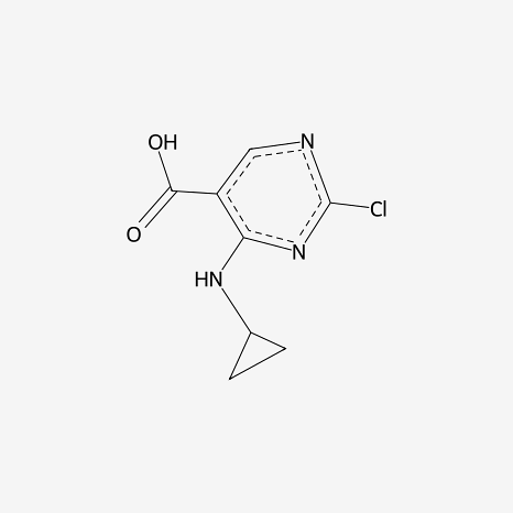 O=C(O)c1cnc(Cl)nc1NC1CC1